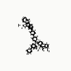 CC1(C)c2ccccc2-c2ccc(N(c3ccc(-c4ccccc4)cc3)c3ccc(-c4ccc(-c5ccc6c(c5)C(C)(C)c5c-6sc6ccccc56)cc4)cc3)cc21